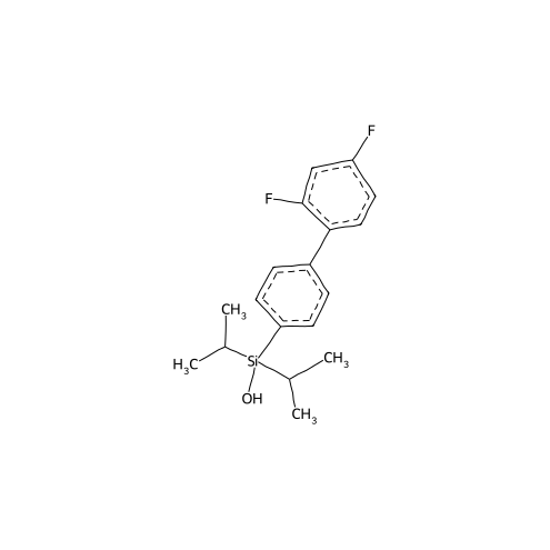 CC(C)[Si](O)(c1ccc(-c2ccc(F)cc2F)cc1)C(C)C